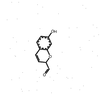 O=CC1C=Cc2ccc(O)cc2O1